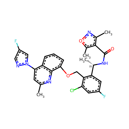 Cc1cc(-n2cc(F)cn2)c2cccc(OCc3c(Cl)cc(F)cc3[C@H](C)NC(=O)c3c(C)noc3C)c2n1